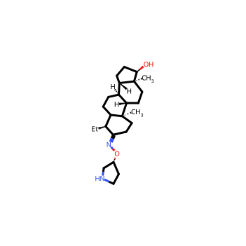 CC[C@@H]1/C(=N/O[C@@H]2CCNC2)CC[C@@]2(C)C1CC[C@H]1[C@@H]3CC[C@@H](O)[C@@]3(C)CC[C@@H]12